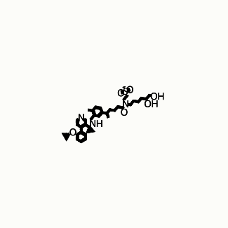 Cc1ccc(C(C)CCCC(=O)N(CCCCC(O)CO)CCS(C)(=O)=O)cc1CNC1(c2cnccc2-c2ccccc2OC2CC2)CC1